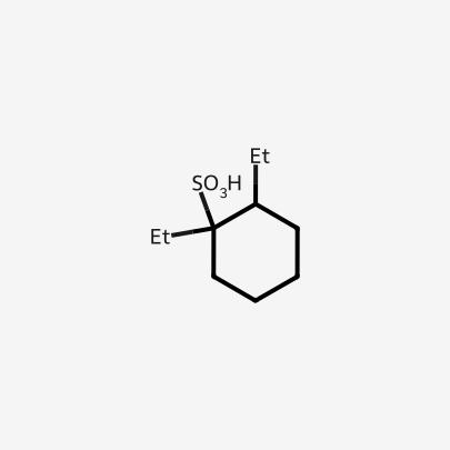 CCC1CCCCC1(CC)S(=O)(=O)O